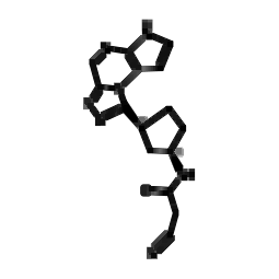 N#CCC(=O)N[C@@H]1CC[C@H](c2nnc3cnc4[nH]ccc4n23)C1